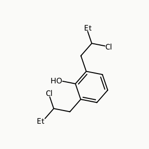 CCC(Cl)Cc1cccc(CC(Cl)CC)c1O